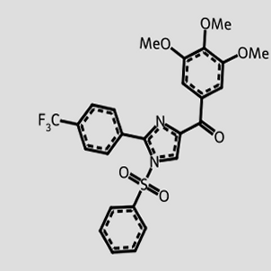 COc1cc(C(=O)c2cn(S(=O)(=O)c3ccccc3)c(-c3ccc(C(F)(F)F)cc3)n2)cc(OC)c1OC